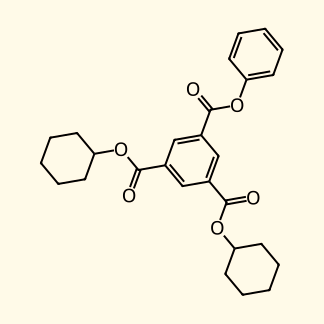 O=C(Oc1ccccc1)c1cc(C(=O)OC2CCCCC2)cc(C(=O)OC2CCCCC2)c1